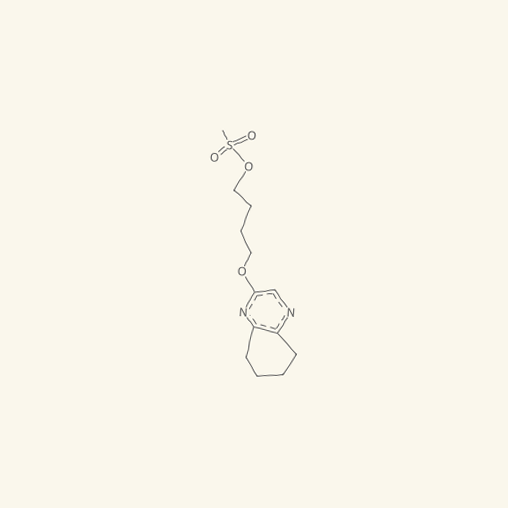 CS(=O)(=O)OCCCCOc1cnc2c(n1)CCCC2